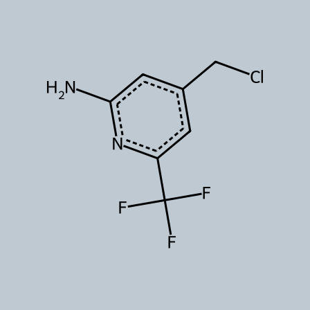 Nc1cc(CCl)cc(C(F)(F)F)n1